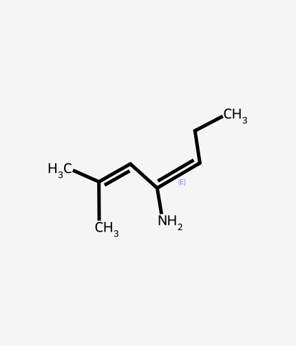 CC/C=C(/N)C=C(C)C